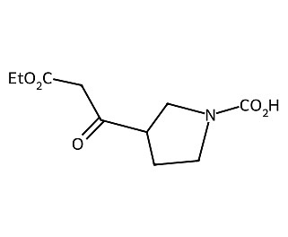 CCOC(=O)CC(=O)C1CCN(C(=O)O)C1